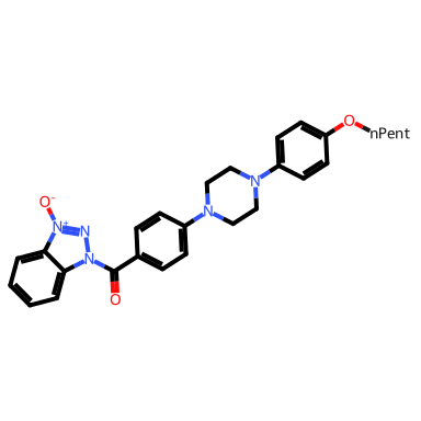 CCCCCOc1ccc(N2CCN(c3ccc(C(=O)n4n[n+]([O-])c5ccccc54)cc3)CC2)cc1